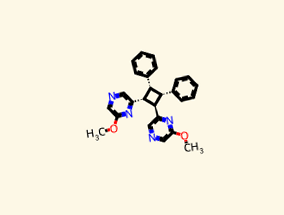 COc1cncc([C@@H]2[C@H](c3ccccc3)[C@H](c3ccccc3)[C@H]2c2cncc(OC)n2)n1